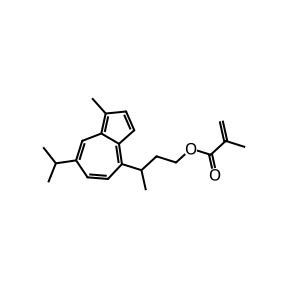 C=C(C)C(=O)OCCC(C)c1ccc(C(C)C)cc2c(C)ccc1-2